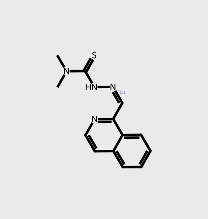 CN(C)C(=S)N/N=C\c1nccc2ccccc12